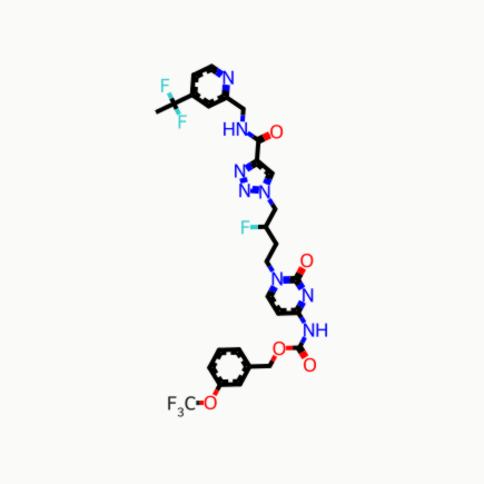 CC(F)(F)c1ccnc(CNC(=O)c2cn(CC(F)CCn3ccc(NC(=O)OCc4cccc(OC(F)(F)F)c4)nc3=O)nn2)c1